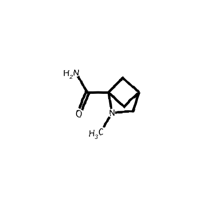 CN1CC2CC1(C(N)=O)C2